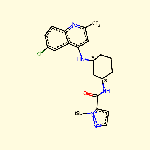 CC(C)(C)n1nccc1C(=O)N[C@@H]1CCC[C@H](Nc2cc(C(F)(F)F)nc3ccc(Cl)cc23)C1